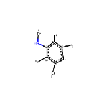 CCNc1c(C)c(C)cc(CC)c1C